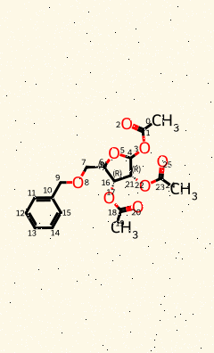 CC(=O)OC1O[C@H](COCc2ccccc2)[C@@H](OC(C)=O)[C@H]1OC(C)=O